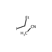 CC#N.CCCI